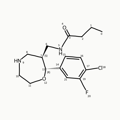 CCCC(=O)NC[C@@H]1CNCCO[C@H]1c1ccc(Cl)c(F)c1